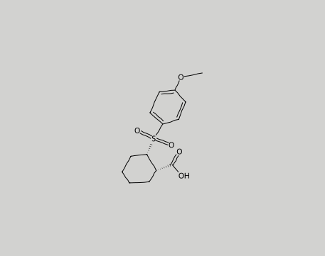 COc1ccc(S(=O)(=O)[C@H]2CCCC[C@H]2C(=O)O)cc1